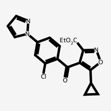 CCOC(=O)c1noc(C2CC2)c1C(=O)c1ccc(-n2cccn2)cc1Cl